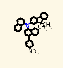 CC1(C)c2ccccc2-c2ccc(N(c3cccc4ccccc34)c3ccc(-c4ccc([N+](=O)[O-])cc4)c4ccccc34)cc21